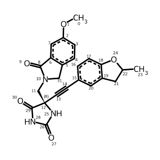 COc1ccc2c(c1)C(=O)N(C[C@@]1(C#Cc3ccc4c(c3)CC(C)O4)NC(=O)NC1=O)C2